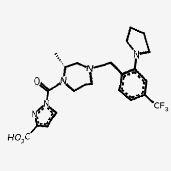 C[C@@H]1CN(Cc2ccc(C(F)(F)F)cc2N2CCCC2)CCN1C(=O)n1ccc(C(=O)O)n1